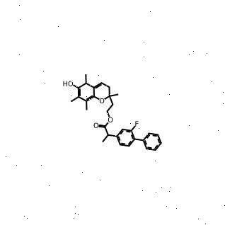 CC1=C2OC(C)(CCOC(=O)C(C)c3ccc(-c4ccccc4)c(F)c3)CC=C2C(C)C(O)=C1C